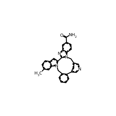 Cc1ccc2cc3n(c2c1)Cc1ccccc1-c1cncc(c1)Cn1c-3nc2cc(C(N)=O)ccc21